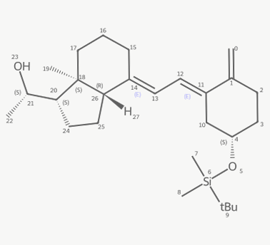 C=C1CC[C@H](O[Si](C)(C)C(C)(C)C)C/C1=C\C=C1/CCC[C@]2(C)[C@@H]([C@H](C)O)CC[C@@H]12